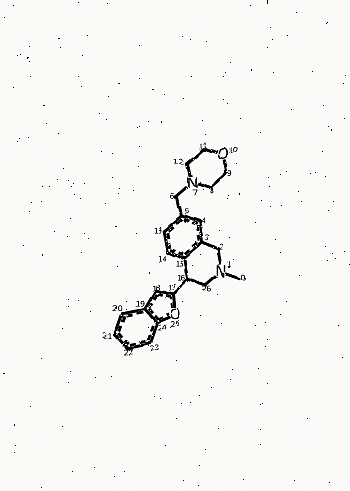 CN1Cc2cc(CN3CCOCC3)ccc2C(c2cc3ccccc3o2)C1